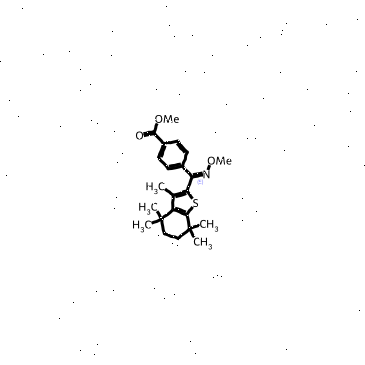 CO/N=C(\c1ccc(C(=O)OC)cc1)c1sc2c(c1C)C(C)(C)CCC2(C)C